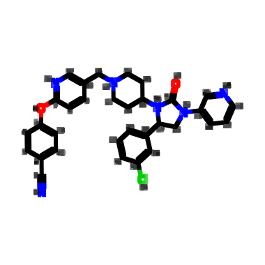 N#Cc1ccc(Oc2ccc(CN3CCC(N4C(=O)N(c5cccnc5)CC4c4cccc(Cl)c4)CC3)cn2)cc1